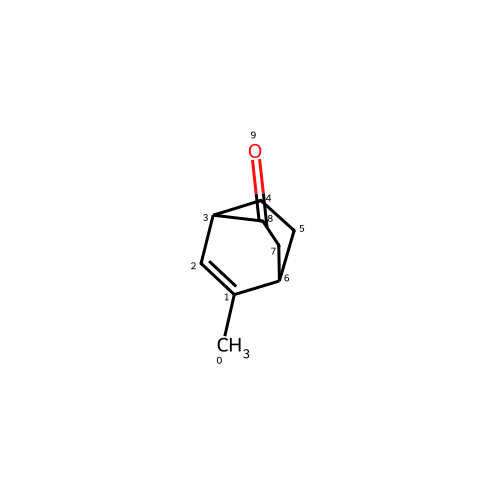 CC1=CC2CCC1CC2=O